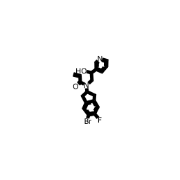 C=CC(=O)N(CC(O)c1cccnc1)C1Cc2cc(F)c(Br)cc2C1